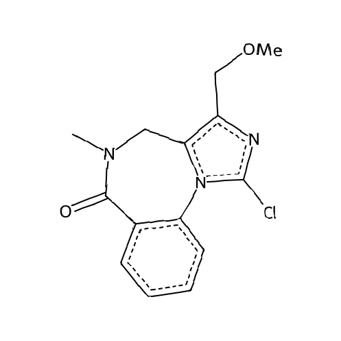 COCc1nc(Cl)n2c1CN(C)C(=O)c1ccccc1-2